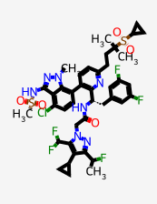 CC(F)c1nn(CC(=O)N[C@@H](Cc2cc(F)cc(F)c2)c2nc(CCC(C)(C)S(=O)(=O)C3CC3)ccc2-c2ccc(Cl)c3c(NS(C)(=O)=O)nn(C)c23)c(C(F)F)c1C1CC1